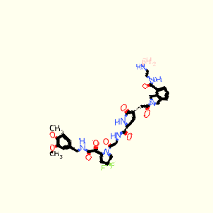 BNCCNC(=O)c1cccc2c1CN(C(=O)C[C@@H]1C[C@@H](C(=O)NCC(=O)N3CC(F)(F)CC3C(=O)C(=O)NCc3ccc(OC)c(OC)c3)NC1=O)C2